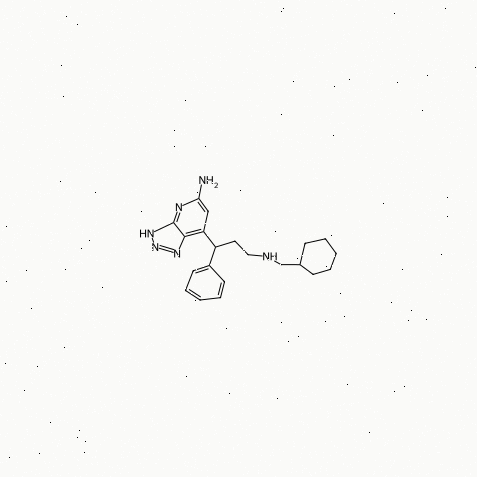 Nc1cc(C(CCNCC2CCCCC2)c2ccccc2)c2nn[nH]c2n1